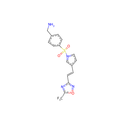 NCc1ccc(S(=O)(=O)n2ccc(C=Cc3noc(C(F)(F)F)n3)c2)cc1